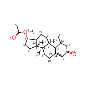 CC(=O)OC1CC[C@H]2[C@@H]3CCC4=CC(=O)CC(C)[C@]4(C)[C@@H]3CC[C@]12C